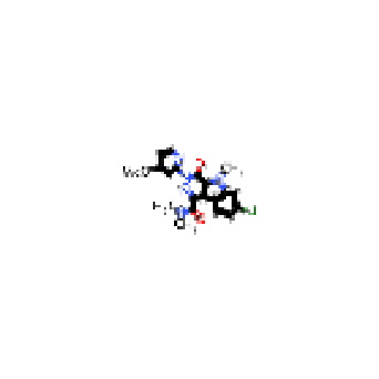 COc1ccnc(-n2nc(C(=O)N(C)C)c3c4ccc(Cl)cc4n(C)c3c2=O)c1